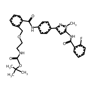 Cn1nc(-c2ccc(NC(=O)c3ccccc3COCCNC(=O)OC(C)(C)C)cc2)cc1NC(=O)c1ccccc1F